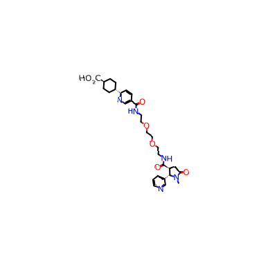 CN1C(=O)C[C@H](C(=O)NCCOCCOCCNC(=O)c2ccc([C@H]3CC[C@H](C(=O)O)CC3)nc2)[C@H]1c1cccnc1